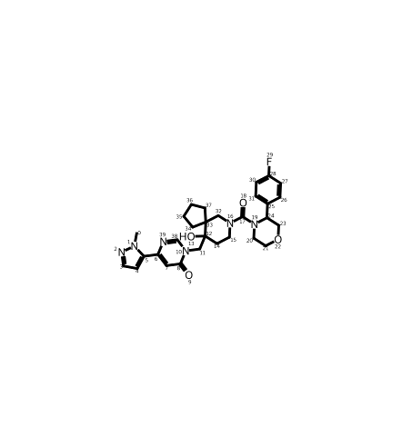 Cn1nccc1-c1cc(=O)n(CC2(O)CCN(C(=O)N3CCOCC3c3ccc(F)cc3)CC23CCCC3)cn1